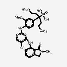 COCCC(CCOC)(c1ccc(Nc2ncc(C(F)(F)F)c(Nc3cccc4c3C(=O)N(C)C4)n2)c(OC)c1)P(=O)(O)O